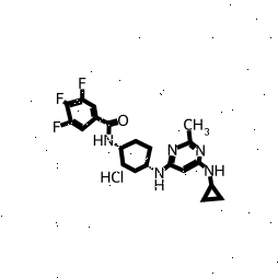 Cc1nc(NC2CC2)cc(N[C@H]2CC[C@@H](NC(=O)c3cc(F)c(F)c(F)c3)CC2)n1.Cl